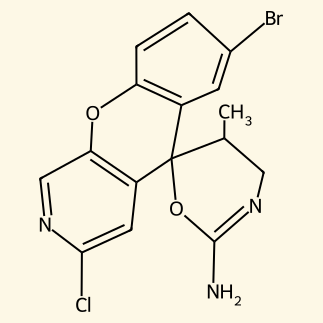 CC1CN=C(N)OC12c1cc(Br)ccc1Oc1cnc(Cl)cc12